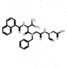 CC(C)C(NC(=O)c1cccc2ccccc12)C(=O)N(CC(=O)N[C@H](C=O)CC(=O)O)Cc1ccccc1